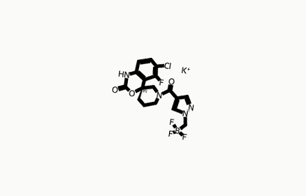 O=C1Nc2ccc(Cl)c(F)c2[C@@]2(CCCN(C(=O)c3cnn(C[B-](F)(F)F)c3)C2)O1.[K+]